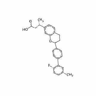 Cc1ccc(F)c(-c2ccc(C3CCc4ccc(C(C)CC(=O)O)cc4O3)cc2)c1